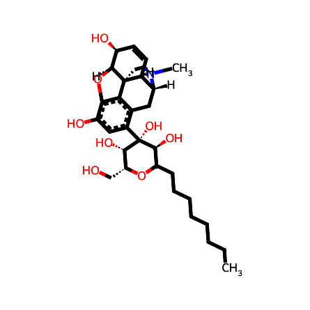 CCCCCCCC[C]1O[C@H](CO)[C@H](O)[C@@](O)(c2cc(O)c3c4c2C[C@@H]2[C@@H]5C=C[C@H](O)[C@H](O3)[C@]45CCN2C)[C@H]1O